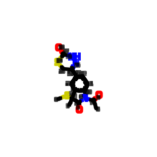 CSC1(C)C(=O)N(C(C)=O)c2ccc(C3=NNC(=O)SC3)cc21